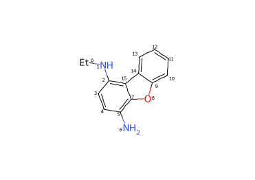 CCNc1ccc(N)c2oc3ccccc3c12